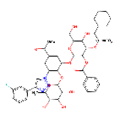 COC(=O)C1CC(OC2OC(CO)C(O)C(O[C@@H](CC3CCCCC3)C(=O)O)C2OC(=O)c2ccccc2)C(OC2OC(C)C(O)C(O)C2O)C(n2cc(-c3cccc(F)c3)nn2)C1